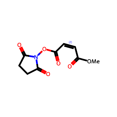 COC(=O)/C=C\C(=O)ON1C(=O)CCC1=O